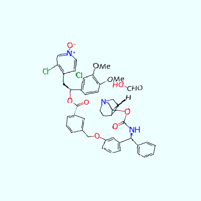 COc1ccc([C@H](Cc2c(Cl)c[n+]([O-])cc2Cl)OC(=O)c2cccc(COc3cccc([C@@H](NC(=O)O[C@H]4CN5CCC4CC5)c4ccccc4)c3)c2)cc1OC.O=CO